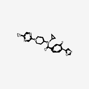 CCc1cnc(N2CCC(N(C(=O)c3ccc(-c4cnco4)c(F)c3)C3CC3)CC2)cn1